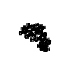 C[C@@H](Nc1nc(Cl)nc2c1ccn2[C@@H]1O[C@H](CS(=O)(=O)CP(=O)(O)O)[C@@H](O)[C@H]1O)c1ccc(Cl)cc1